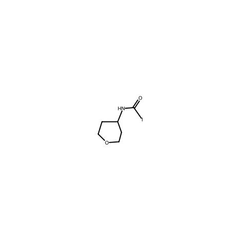 O=C(I)NC1CCOCC1